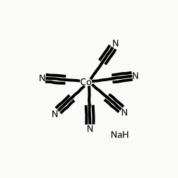 N#[C][Co]([C]#N)([C]#N)([C]#N)([C]#N)[C]#N.[NaH]